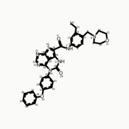 O=C(Nc1ccc(CN2CCOCC2)c(CI)c1)c1sc2ncnc3c2c1NC(=O)N3c1ccc(Oc2ccccc2)cc1